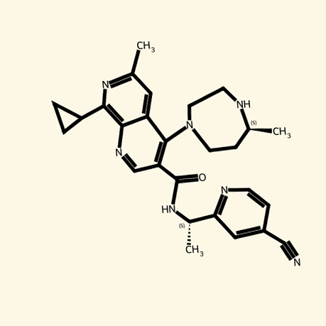 Cc1cc2c(N3CCN[C@@H](C)CC3)c(C(=O)N[C@@H](C)c3cc(C#N)ccn3)cnc2c(C2CC2)n1